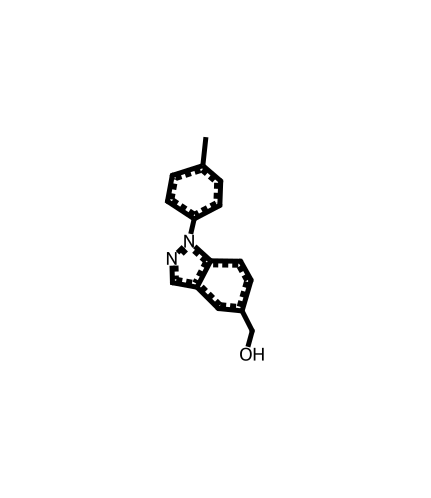 Cc1ccc(-n2ncc3cc(CO)ccc32)cc1